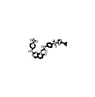 CS(=O)(=O)N1CCC(Nc2ncc3ccc(=O)n(CC(=O)Nc4ccc(S(=O)(=O)n5cnc(C6CC6)n5)cc4)c3n2)CC1